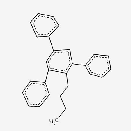 CCCCc1c(-c2ccccc2)cc(-c2ccccc2)cc1-c1ccccc1